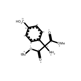 COC(=O)C(N)(C(=O)OC(C)(C)C)c1ccc(C(=O)O)cc1